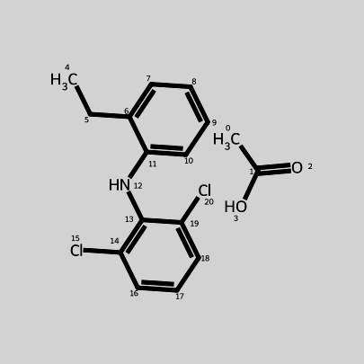 CC(=O)O.CCc1ccccc1Nc1c(Cl)cccc1Cl